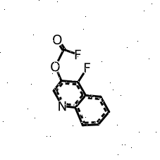 O=C(F)Oc1cnc2ccccc2c1F